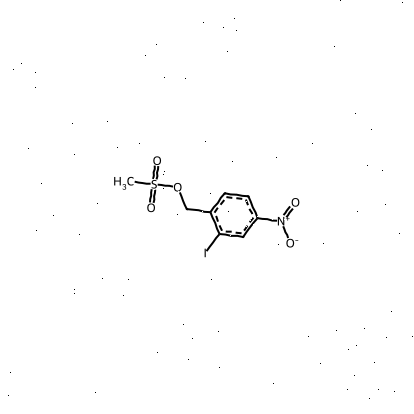 CS(=O)(=O)OCc1ccc([N+](=O)[O-])cc1I